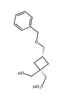 O=S(=O)(O)C[C@]1(CO)C[C@H](COCc2ccccc2)C1